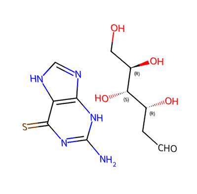 Nc1nc(=S)c2[nH]cnc2[nH]1.O=CC[C@@H](O)[C@H](O)[C@H](O)CO